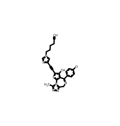 C#CCCCCn1cnc(C#Cc2sc3c(c2C)C(c2ccc(Cl)cc2)=NCc2nnc(C)n2-3)c1